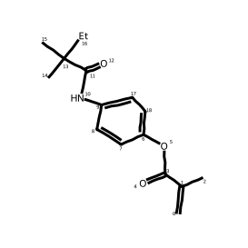 C=C(C)C(=O)Oc1ccc(NC(=O)C(C)(C)CC)cc1